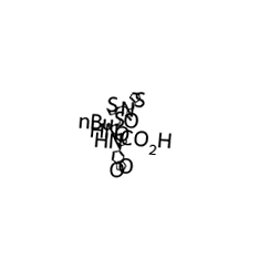 CCCCC(CSC(=O)N(Cc1cccs1)Cc1cccs1)NC(=O)NC(CC(=O)O)c1ccc2c(c1)OCO2